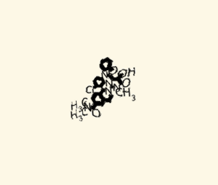 CN(C)C(=O)c1ccc2c(c1)CCN(c1nc(-c3nc4ccccc4o3)c(O)c(=O)n1C)[C@@H]2c1ccccc1Cl